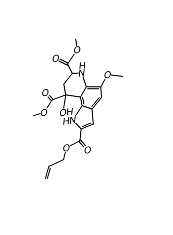 C=CCOC(=O)c1cc2cc(OC)c3c(c2[nH]1)C(O)(C(=O)OC)CC(C(=O)OC)N3